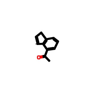 CC(=O)c1cccc2c1[C]=CC2